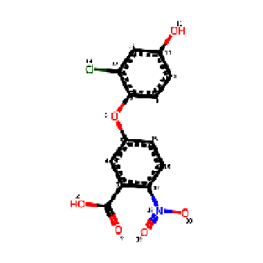 O=C(O)c1cc(Oc2ccc(O)cc2Cl)ccc1[N+](=O)[O-]